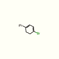 CC(C)C1=CC=C(Br)CC1